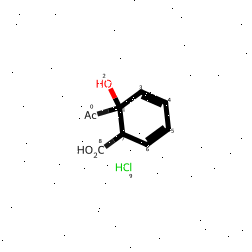 CC(=O)C1(O)C=CC=CC1C(=O)O.Cl